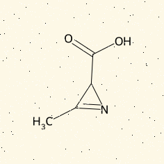 CC1=NC1C(=O)O